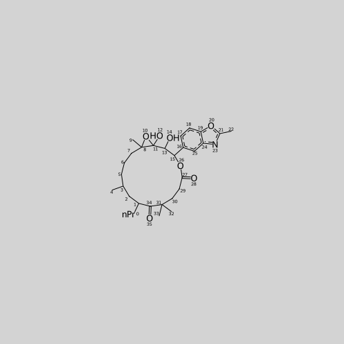 CCCC1CC(C)CCCC2(C)OC2(O)C(O)C(c2ccc3oc(C)nc3c2)OC(=O)CCC(C)(C)C1=O